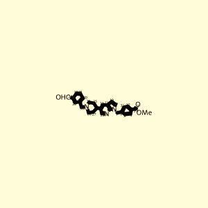 COC(=O)c1ccc(Cn2ccc3cc(C4CCN(Cc5cccc(C=O)c5)CC4)cnc32)cc1